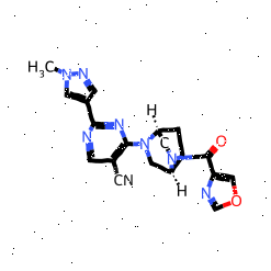 Cn1cc(-c2ncc(C#N)c(N3C[C@@H]4CC[C@H]3CN4C(=O)c3cocn3)n2)cn1